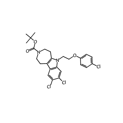 CC(C)(C)OC(=O)N1CCc2c(n(CCOc3ccc(Cl)cc3)c3cc(Cl)c(Cl)cc23)CC1